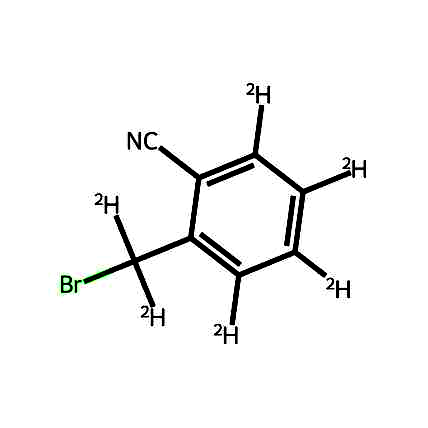 [2H]c1c([2H])c([2H])c(C([2H])([2H])Br)c(C#N)c1[2H]